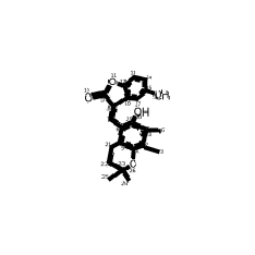 Cc1c(C)c2c(c(C=C3C(=O)Oc4ccc(O)cc43)c1O)CCC(C)(C)O2